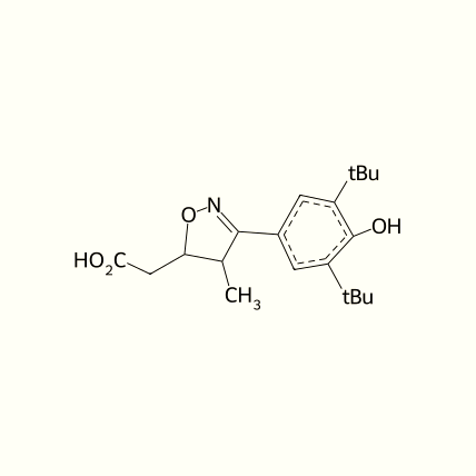 CC1C(c2cc(C(C)(C)C)c(O)c(C(C)(C)C)c2)=NOC1CC(=O)O